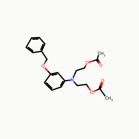 CC(=O)OCCN(CCOC(C)=O)c1cccc(OCc2ccccc2)c1